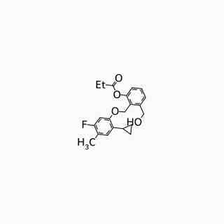 CCC(=O)Oc1cccc(CO)c1COc1cc(F)c(C)cc1C1CC1